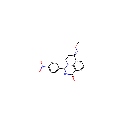 CON=C1CCN2c3c(cccc31)C(=O)NC2c1ccc([N+](=O)[O-])cc1